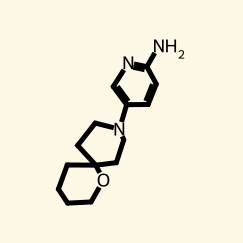 Nc1ccc(N2CCC3(CCCCO3)CC2)cn1